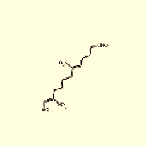 CCCCCCCC/C=C(/C/C=C/C/C(=C/CCC[C]=O)[N+](=O)[O-])[N+](=O)[O-]